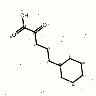 O=C(O)C(=O)CCCC1CCCCC1